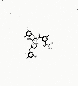 CCCN(CCC)C(=O)c1cc(C)cc(C(=O)N[C@@H](Cc2cc(F)cc(F)c2)[C@H](O)[C@H]2C[C@@H](Cc3cc(C)cc(F)c3)CCN2)c1